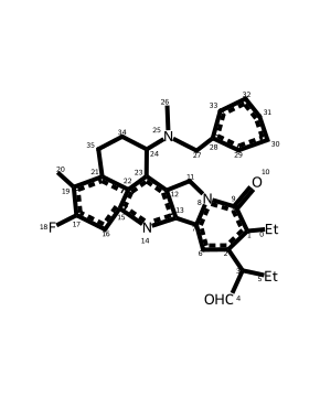 CCc1c(C(C=O)CC)cc2n(c1=O)Cc1c-2nc2cc(F)c(C)c3c2c1C(N(C)Cc1ccccc1)CC3